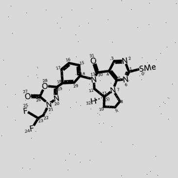 CSc1ncc2c(n1)N1CCC[C@H]1CN(c1cccc(-c3nn(CC(F)F)c(=O)o3)c1)C2=O